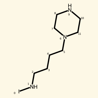 INCCCCN1CCNCC1